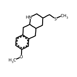 COc1ccc2c(c1)CC1CC(CSC)CNC1C2